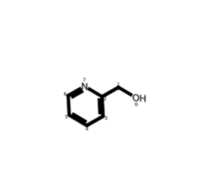 O[CH]c1ccccn1